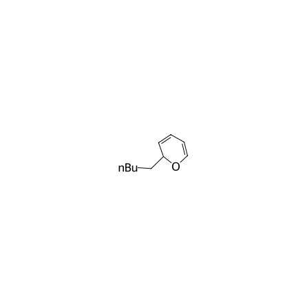 CCCCCC1C=CC=CO1